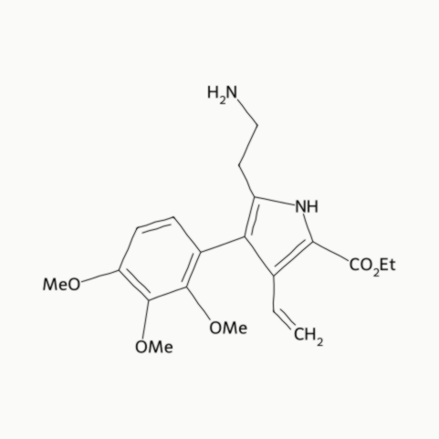 C=Cc1c(C(=O)OCC)[nH]c(CCN)c1-c1ccc(OC)c(OC)c1OC